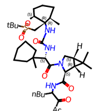 CCCCC(NC(=O)[C@@H]1[C@@H]2[C@H](CN1C(=O)[C@@H](NC(=O)N[C@@]1(CS(=O)(=O)C(C)(C)C)[C@H](C)CCC[C@@H]1C)C1(C)CCCCC1)C2(C)C)C(=O)C(C)=O